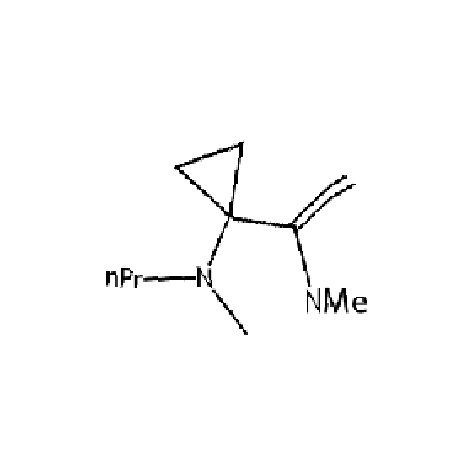 C=C(NC)C1(N(C)CCC)CC1